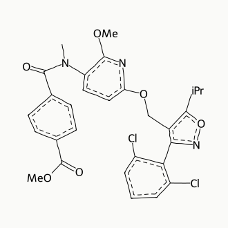 COC(=O)c1ccc(C(=O)N(C)c2ccc(OCc3c(-c4c(Cl)cccc4Cl)noc3C(C)C)nc2OC)cc1